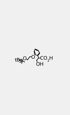 CC(C)(C)[Si](C)(C)OCCOc1ccccc1C(CO)C(=O)O